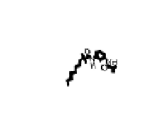 CCCCCCCCC(C)(C)C(=O)Nc1cccc(NC(=O)C(C)C)c1